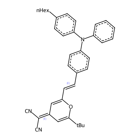 [C-]#[N+]/C(C#N)=C1C=C(/C=C/c2ccc(N(c3ccccc3)c3ccc(CCCCCC)cc3)cc2)OC(C(C)(C)C)=C\1